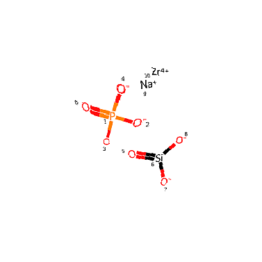 O=P([O-])([O-])[O-].O=[Si]([O-])[O-].[Na+].[Zr+4]